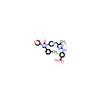 Cc1cccc(C2CN(C3CCOCC3)C(=O)N2C2CCN(Cc3cnc(Nc4ccc(C(=O)O)cc4)nc3C)CC2)c1